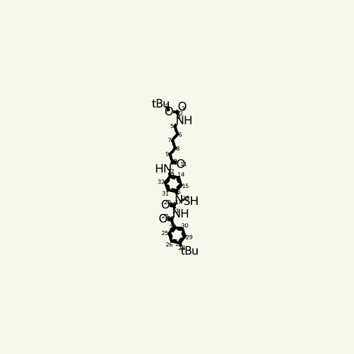 CC(C)(C)OC(=O)NCCCCCC(=O)Nc1ccc(N(S)C(=O)NC(=O)c2ccc(C(C)(C)C)cc2)cc1